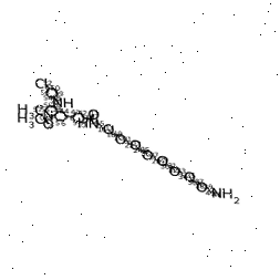 CC(=O)N1c2ccc(-c3ccc(C(=O)NCCOCCOCCOCCOCCOCCOCCOCCOCCN)cc3)cc2[C@H](Nc2ccc(Cl)cc2)C[C@@H]1C